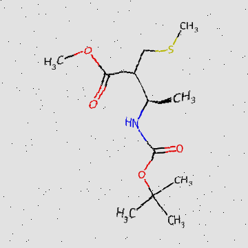 COC(=O)C(CSC)[C@@H](C)NC(=O)OC(C)(C)C